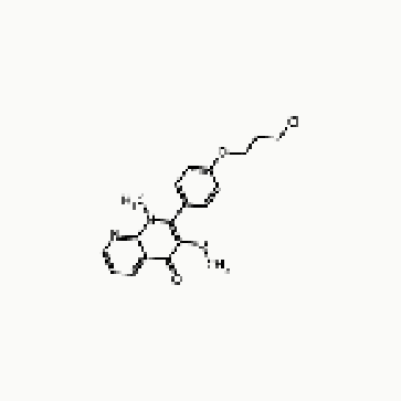 COc1c(-c2ccc(OCCCCl)cc2)n(C)c2ncccc2c1=O